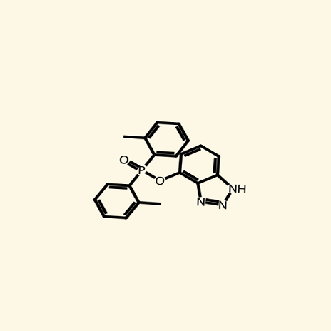 Cc1ccccc1P(=O)(Oc1cccc2[nH]nnc12)c1ccccc1C